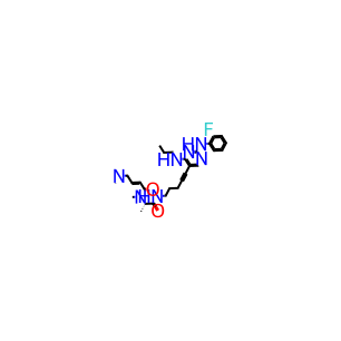 CCCNc1nc(Nc2ccccc2F)ncc1C#CCCCNC(=O)[C@H](C)N(C)C(=O)/C=C/CN(C)C